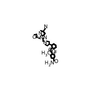 CC1(c2ccc(C(N)=O)cc2F)Oc2cccc(C3CCN(Cc4nc5cc(C#N)cnc5n4C[C@@H]4CCO4)CC3)c2O1